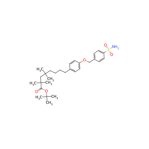 CC(C)(CCCCc1ccc(OCc2ccc(S(N)(=O)=O)cc2)cc1)CC(C)(C)C(=O)OC(C)(C)C